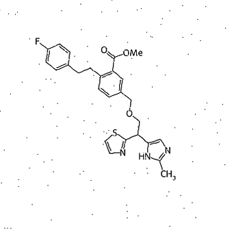 COC(=O)c1cc(COCC(c2cnc(C)[nH]2)c2nccs2)ccc1CCc1ccc(F)cc1